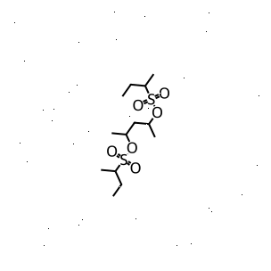 CCC(C)S(=O)(=O)OC(C)CC(C)OS(=O)(=O)C(C)CC